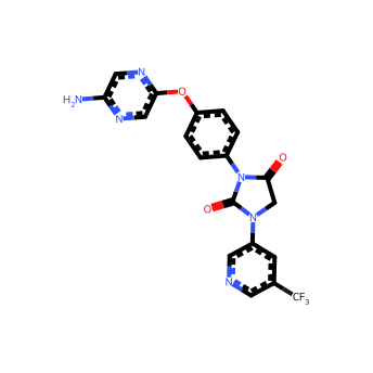 Nc1cnc(Oc2ccc(N3C(=O)CN(c4cncc(C(F)(F)F)c4)C3=O)cc2)cn1